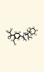 C/C=C(\N=C(/C(C)C)C1(C)CCCCC1)c1ccc(C(=O)C(C)C)c(CC)c1